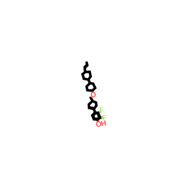 C/C=C/C1CCC(C2CCC(OCC3CC=C(c4ccc(O)c(F)c4F)CC3)CC2)CC1